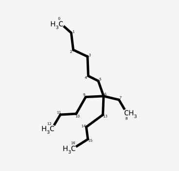 CCCCCCC(CC)(CCCC)CCCC